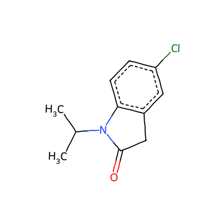 CC(C)N1C(=O)Cc2cc(Cl)ccc21